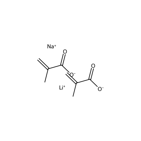 C=C(C)C(=O)[O-].C=C(C)C(=O)[O-].[Li+].[Na+]